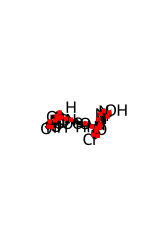 C[C@@H]1C[C@@H](O)c2ncnc(N3CCN(C(=O)[C@H](CNCCOCCOCCNC(=O)COc4cccc5c4C(=O)N(C4CCC(=O)NC4=O)C5=O)c4ccc(Cl)cc4)CC3)c21